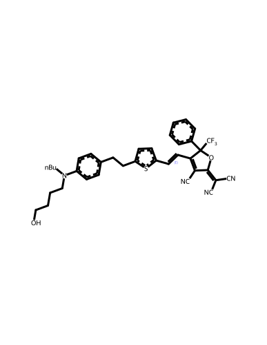 CCCCN(CCCCO)c1ccc(CCc2ccc(/C=C/C3=C(C#N)C(=C(C#N)C#N)OC3(c3ccccc3)C(F)(F)F)s2)cc1